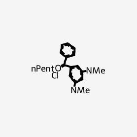 CCCCCCl.CNc1cc(NC)cc(C(=O)c2ccccc2)c1